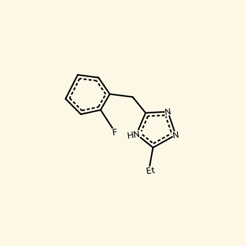 CCc1nnc(Cc2ccccc2F)[nH]1